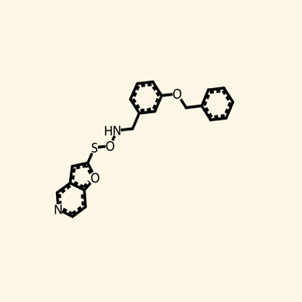 c1ccc(COc2cccc(CNOSc3cc4cnccc4o3)c2)cc1